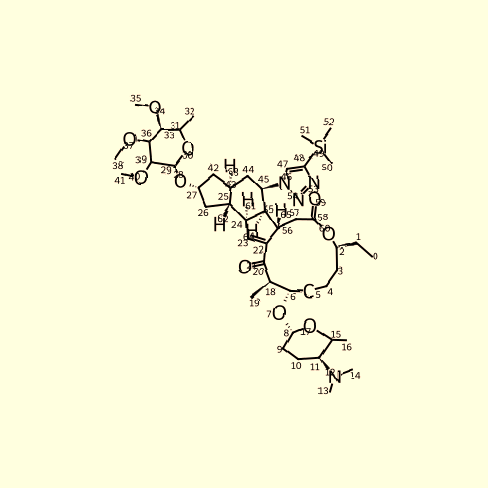 CC[C@H]1CCC[C@H](O[C@H]2CC[C@H](N(C)C)C(C)O2)[C@@H](C)C(=O)C2=C[C@H]3[C@@H]4C[C@H](O[C@@H]5OC(C)[C@H](OC)C(OC)C5OC)C[C@H]4C[C@@H](n4cc([Si](C)(C)C)nn4)[C@H]3[C@@H]2CC(=O)O1